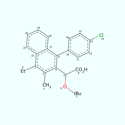 CCc1c(C)c(C(OC(C)(C)C)C(=O)O)c(-c2ccc(Cl)cc2)c2ccccc12